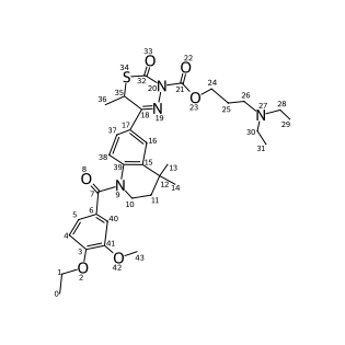 CCOc1ccc(C(=O)N2CCC(C)(C)c3cc(C4=NN(C(=O)OCCCN(CC)CC)C(=O)SC4C)ccc32)cc1OC